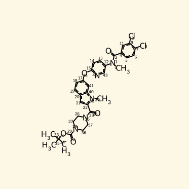 CN(C(=O)c1ccc(Cl)c(Cl)c1)c1ccc(Oc2ccc3cc(C(=O)N4CCN(C(=O)OC(C)(C)C)CC4)n(C)c3c2)nc1